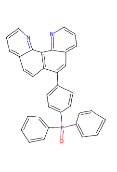 O=P(c1ccccc1)(c1ccccc1)c1ccc(-c2cc3cccnc3c3c2ccc2cccnc23)cc1